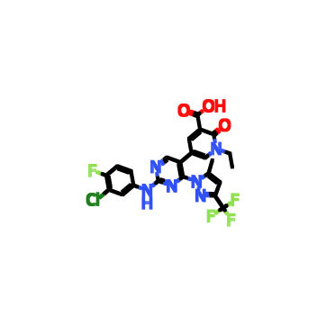 CCn1cc(-c2cnc(Nc3ccc(F)c(Cl)c3)nc2-n2nc(C(F)(F)F)cc2C)cc(C(=O)O)c1=O